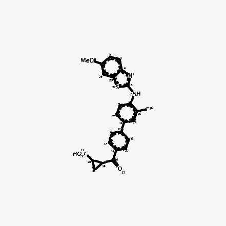 COc1ccc2nc(Nc3ccc(-c4ccc(C(=O)C5CC5C(=O)O)cc4)cc3F)sc2c1